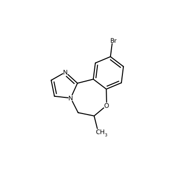 CC1Cn2ccnc2-c2cc(Br)ccc2O1